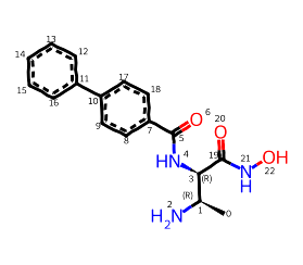 C[C@@H](N)[C@@H](NC(=O)c1ccc(-c2ccccc2)cc1)C(=O)NO